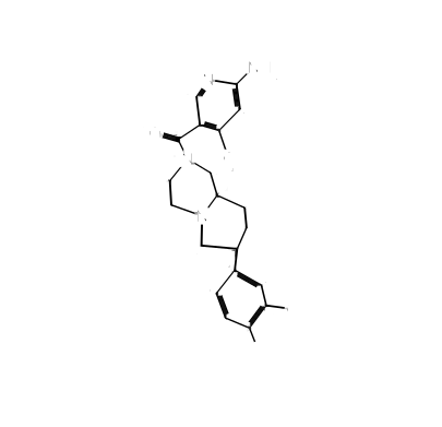 Nc1cc(Cl)c(C(=O)N2CCN3CC(c4ccc(F)c(Cl)c4)CCC3C2)cn1